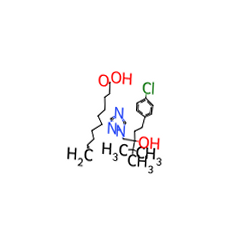 C=CCCCCCCCC(=O)O.CC(C)(C)C(O)(CCc1ccc(Cl)cc1)Cn1cncn1